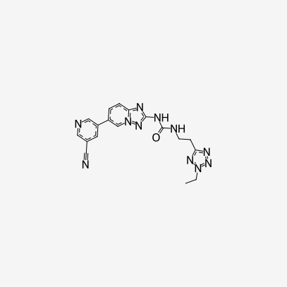 CCn1nnc(CCNC(=O)Nc2nc3ccc(-c4cncc(C#N)c4)cn3n2)n1